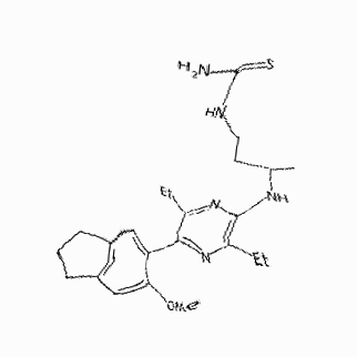 CCc1nc(-c2cc3c(cc2OC)CCC3)c(CC)nc1NC(C)CCNC(N)=S